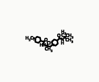 CN1CCC(C(=O)NC(C)(C)CC2CCC(C(=O)NC(C)(C)C)CC2)CC1